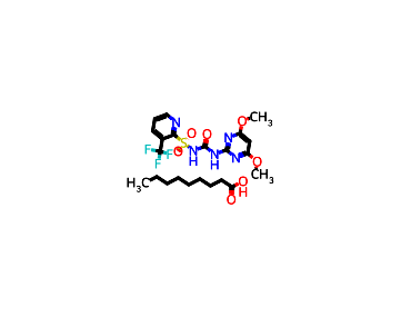 CCCCCCCCC(=O)O.COc1cc(OC)nc(NC(=O)NS(=O)(=O)c2ncccc2C(F)(F)F)n1